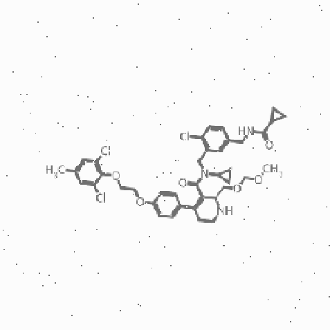 COCOC[C@H]1NCCC(c2ccc(OCCOc3c(Cl)cc(C)cc3Cl)cc2)=C1C(=O)N(Cc1cc(CNC(=O)C2CC2)ccc1Cl)C1CC1